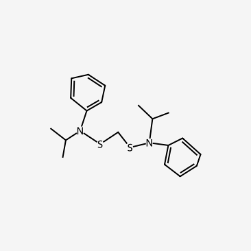 CC(C)N(SCSN(c1ccccc1)C(C)C)c1ccccc1